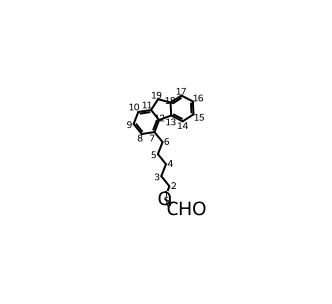 O=COCCCCCc1cccc2c1-c1ccccc1C2